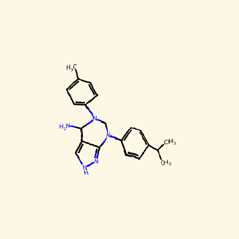 Cc1ccc(N2CN(c3ccc(C(C)C)cc3)c3n[nH]cc3C2N)cc1